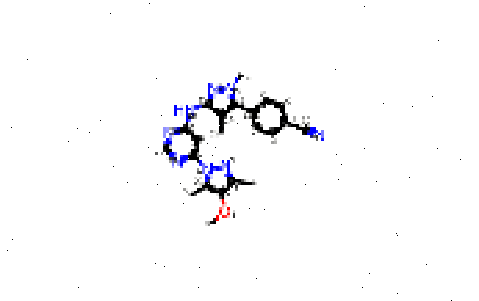 COc1c(C)nn(-c2cc(Nc3nn(C)c(-c4ccc(C#N)cc4)c3C)ncn2)c1C